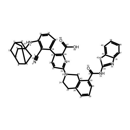 N#Cc1c(NC23CC4CC(CC(C4)C2)C3)cccc1-c1ccc(N2CCc3cccc(C(=O)Nc4nc5ccccc5s4)c3C2)nc1C(=O)O